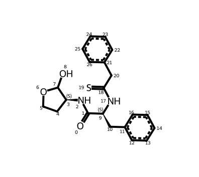 O=C(N[C@H]1CCOC1O)[C@H](Cc1ccccc1)NC(=S)Cc1ccccc1